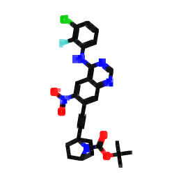 CC(C)(C)OC(=O)N1C2CCC1(C#Cc1cc3ncnc(Nc4cccc(Cl)c4F)c3cc1[N+](=O)[O-])CC2